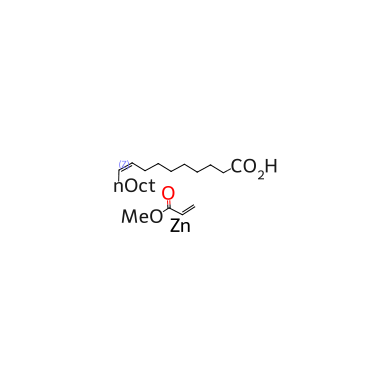 C=CC(=O)OC.CCCCCCCC/C=C\CCCCCCCC(=O)O.[Zn]